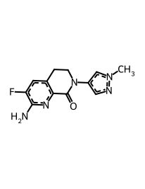 Cn1cc(N2CCc3cc(F)c(N)nc3C2=O)cn1